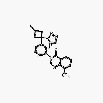 CC1CC(c2cccc(-n3cnc4c(C(F)(F)F)cccc4c3=O)c2)(c2nncn2C)C1